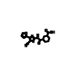 N#Cc1sc(NC(=O)C2CCCC(C(=O)O)C2)nc1-c1ccco1